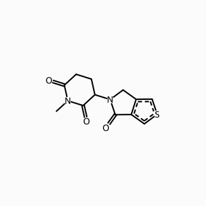 CN1C(=O)CCC(N2Cc3cscc3C2=O)C1=O